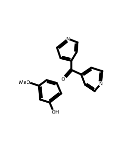 COc1cccc(O)c1.O=C(c1ccncc1)c1ccncc1